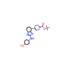 COc1ccc(Nc2nc3c(C4=CCN(C(=O)OC(C)(C)C)CC4)cccn3n2)cc1